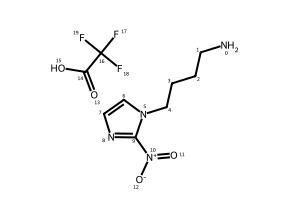 NCCCCn1ccnc1[N+](=O)[O-].O=C(O)C(F)(F)F